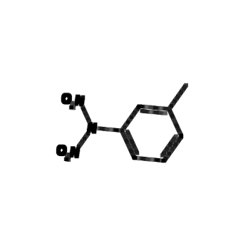 Cc1cccc(N([N+](=O)[O-])[N+](=O)[O-])c1